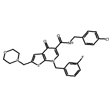 O=C(NCc1ccc(Cl)cc1)c1cn(Cc2cccc(F)c2)c2sc(CN3CCOCC3)cc2c1=O